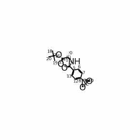 C[C@H](NC(=O)c1ccc([N+](=O)[O-])cc1)C(=O)OC(C)(C)C